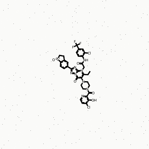 CCc1c(N2CCN(C(=O)c3nccc(Cl)c3O)CC2)c(=O)n2nc(-c3ccc4c(c3)CC[S@@+]4[O-])nc2n1CC(=O)Nc1ccc(C(F)(F)F)cc1Cl